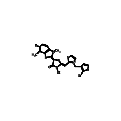 CCn1c(=O)/c(=C2\Sc3c(ccc(F)c3C)N2C)s/c1=C\c1scc[n+]1Cc1ccsc1Br